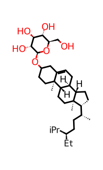 CC[C@H](CC[C@@H](C)[C@H]1CC[C@H]2[C@@H]3CC=C4CC(O[C@@H]5O[C@H](CO)[C@@H](O)[C@H](O)[C@H]5O)CC[C@]4(C)[C@H]3CC[C@]12C)C(C)C